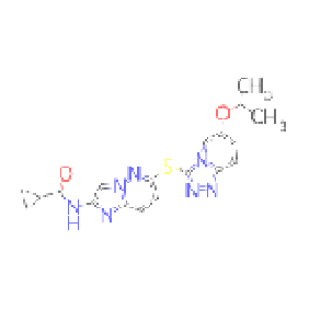 CC(C)Oc1ccc2nnc(Sc3ccc4nc(NC(=O)C5CC5)cn4n3)n2c1